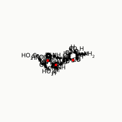 N=C(N)NCCC[C@H](NC(=O)[C@@H]1CSCC(=O)N[C@@H](CCCCN)C(=O)N[C@@H](CC(=O)O)C(=O)N1)C(=O)NCC(=O)N[C@@H](CC(=O)O)C(=O)N[C@H]1CSSC[C@@H](C(=O)NCC(=O)NCC(=O)O)NC(=O)[C@H](Cc2ccccc2)NC1=O